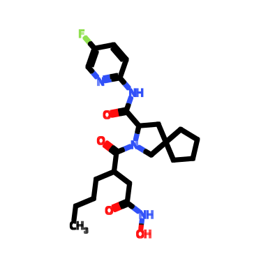 CCCCC(CC(=O)NO)C(=O)N1CC2(CCCC2)CC1C(=O)Nc1ccc(F)cn1